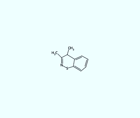 CC1=NSc2ccccc2C1C